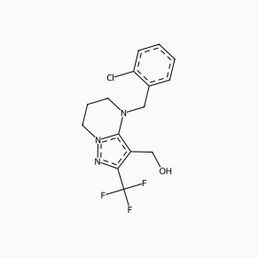 OCc1c(C(F)(F)F)nn2c1N(Cc1ccccc1Cl)CCC2